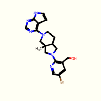 CC12CN(c3ncc(Br)cc3CO)CC1CCN(c1ncnc3[nH]ccc13)C2